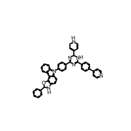 C1=CC(C2N=C(c3ccc(-n4c5ccccc5c5c6c(ccc54)NC(c4ccccc4)O6)cc3)N=C(c3ccc(-c4ccncc4)cc3)N2)=CCN1